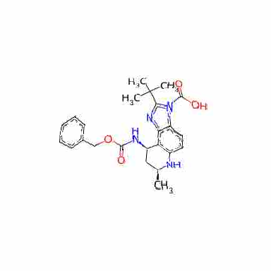 C[C@H]1C[C@@H](NC(=O)OCc2ccccc2)c2c(ccc3c2nc(C(C)(C)C)n3C(=O)O)N1